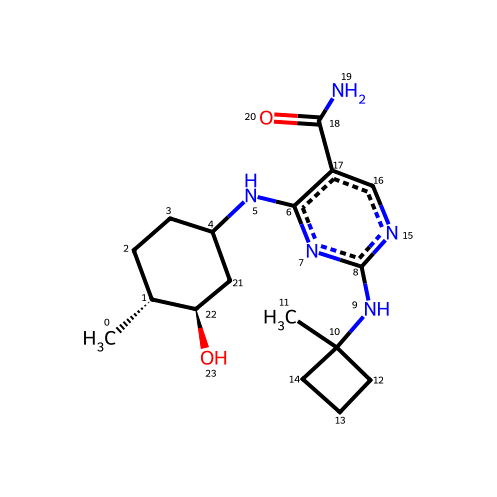 C[C@@H]1CCC(Nc2nc(NC3(C)CCC3)ncc2C(N)=O)C[C@H]1O